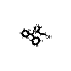 OCCc1cncn1C(c1ccccc1)c1ccccc1